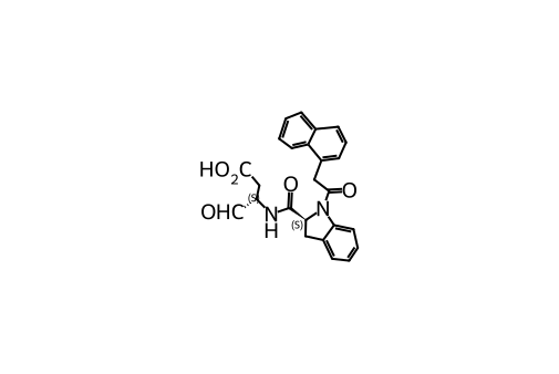 O=C[C@H](CC(=O)O)NC(=O)[C@@H]1Cc2ccccc2N1C(=O)Cc1cccc2ccccc12